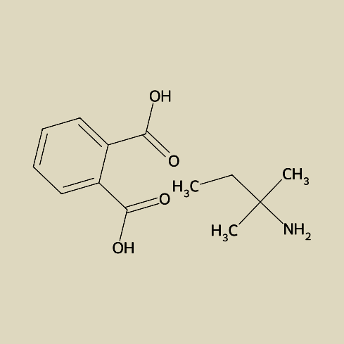 CCC(C)(C)N.O=C(O)c1ccccc1C(=O)O